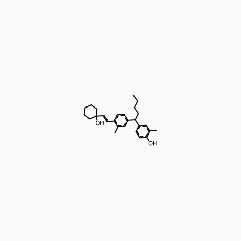 CCCCC(c1ccc(O)c(C)c1)c1ccc(C=CC2(O)CCCCC2)c(C)c1